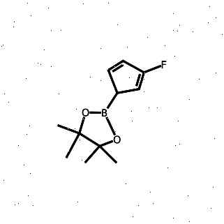 CC1(C)OB(C2C=CC(F)=C2)OC1(C)C